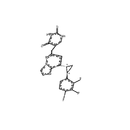 O=c1[nH]cc(-c2cc([C@@H]3C[C@H]3c3ccc(F)c(F)c3F)c3nccn3n2)c(=O)[nH]1